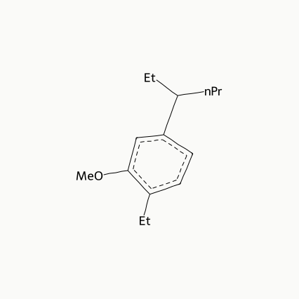 CCCC(CC)c1ccc(CC)c(OC)c1